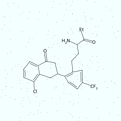 CCC(=O)C(N)CCc1cc(C(F)(F)F)ccc1C1CC(=O)c2cccc(Cl)c2C1